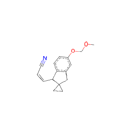 COCOc1ccc2c(c1)CC1(CC1)C2/C=C\C#N